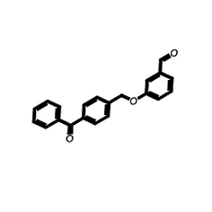 O=Cc1cccc(OCc2ccc(C(=O)c3ccccc3)cc2)c1